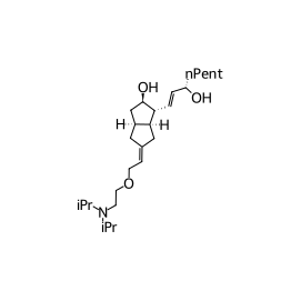 CCCCC[C@H](O)/C=C/[C@@H]1[C@H]2C/C(=C/COCCN(C(C)C)C(C)C)C[C@H]2C[C@H]1O